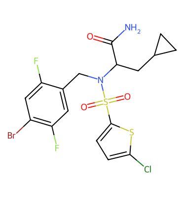 NC(=O)C(CC1CC1)N(Cc1cc(F)c(Br)cc1F)S(=O)(=O)c1ccc(Cl)s1